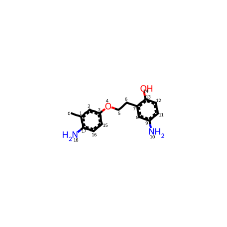 Cc1cc(OCCc2cc(N)ccc2O)ccc1N